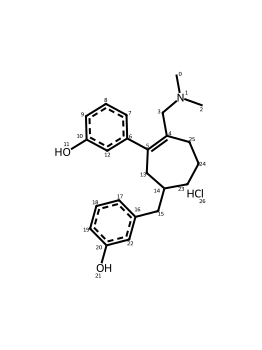 CN(C)CC1=C(c2cccc(O)c2)CC(Cc2cccc(O)c2)CCC1.Cl